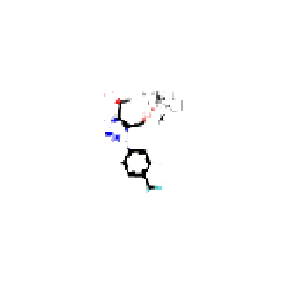 COC(=O)c1nnn(-c2ccc(C(F)F)cc2)c1CO[Si](C)(C)C(C)(C)C